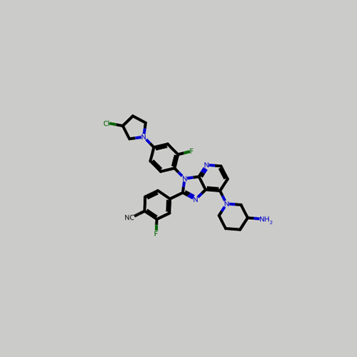 N#Cc1ccc(-c2nc3c(N4CCCC(N)C4)ccnc3n2-c2ccc(N3CCC(Cl)C3)cc2F)cc1F